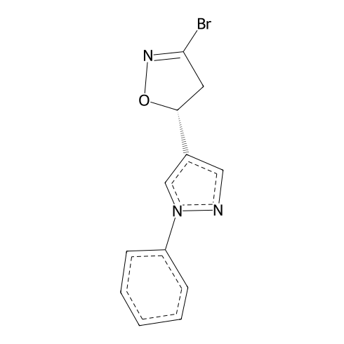 BrC1=NO[C@@H](c2cnn(-c3ccccc3)c2)C1